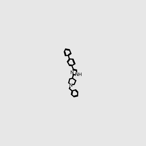 c1ccc(CN2CCC(c3nc(-c4ccc(-c5ccccc5)cc4)c[nH]3)CC2)cc1